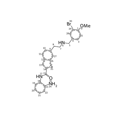 COc1ccc(CNCCc2ccc3cc(C(=O)Nc4ccccc4N)sc3c2)cc1Br